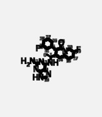 C[C@H](Nc1nc(N)nc2[nH]cnc12)c1cc2ccc(F)cn2c(=O)c1-c1cccc(F)c1